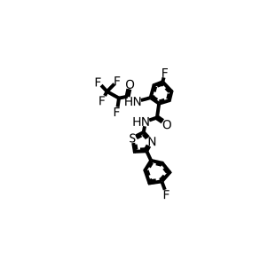 O=C(Nc1nc(-c2ccc(F)cc2)cs1)c1ccc(F)cc1NC(=O)C(F)C(F)(F)F